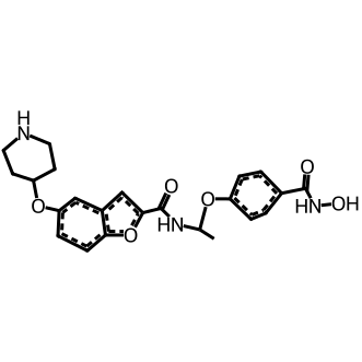 CC(NC(=O)c1cc2cc(OC3CCNCC3)ccc2o1)Oc1ccc(C(=O)NO)cc1